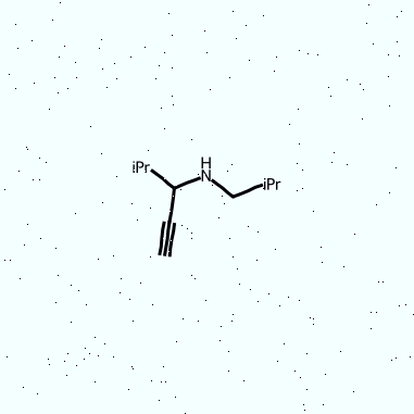 C#CC(NCC(C)C)C(C)C